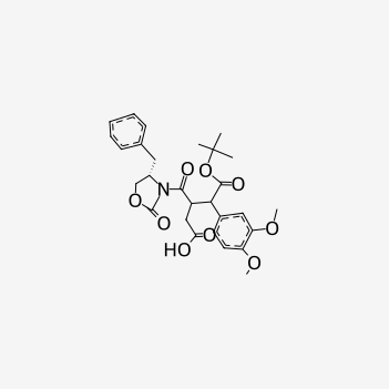 COc1ccc(C(C(=O)OC(C)(C)C)C(CC(=O)O)C(=O)N2C(=O)OC[C@@H]2Cc2ccccc2)cc1OC